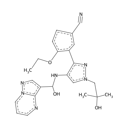 CCOc1ccc(C#N)cc1-c1nn(CC(C)(C)O)cc1NC(O)c1cnn2cccnc12